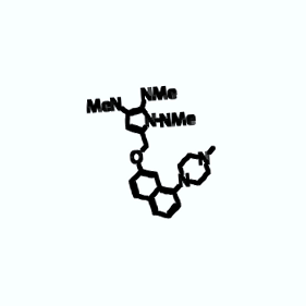 CNc1cc(COc2ccc3cccc(N4CCN(C)CC4)c3c2)n(NC)c1NC